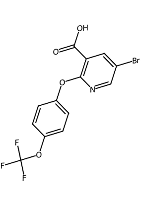 O=C(O)c1cc(Br)cnc1Oc1ccc(OC(F)(F)F)cc1